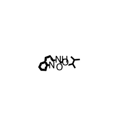 CC(C)C(C)COC(=O)Nc1ccc2ccccc2n1